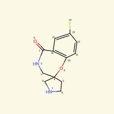 O=C1NCC2(CCNC2)Oc2ccc(F)cc21